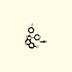 N#CC[C@@H]1C[C@H](n2c3c(cnc4ccc(Cl)cc43)nc2[C@H]2CC[C@@H](F)CC2)CCO1